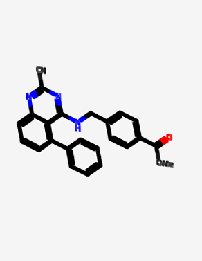 COC(=O)c1ccc(CNc2nc(C#N)nc3cccc(-c4ccccc4)c23)cc1